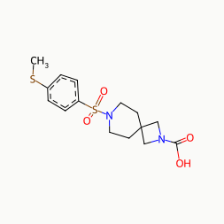 CSc1ccc(S(=O)(=O)N2CCC3(CC2)CN(C(=O)O)C3)cc1